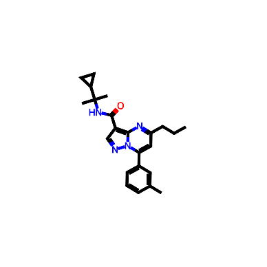 CCCc1cc(-c2cccc(C)c2)n2ncc(C(=O)NC(C)(C)C3CC3)c2n1